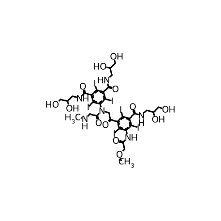 CNCC(=O)N(CC(=O)c1c(I)c(NC(=O)COC)c(I)c(C(=O)NCC(O)CO)c1I)c1c(I)c(C(=O)NCC(O)CO)c(I)c(C(=O)NCC(O)CO)c1I